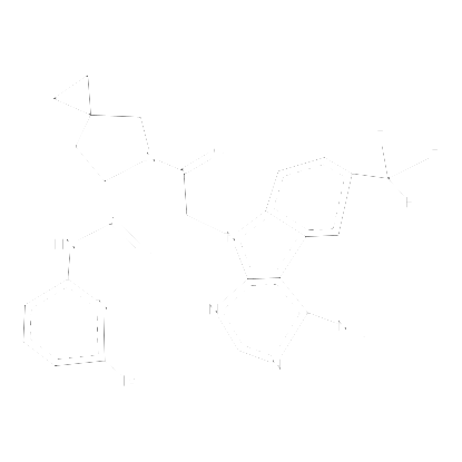 Nc1ncnc2c1c1cc(C(F)(F)F)ccc1n2CC(=O)N1CC2(CC2)C[C@H]1C(=O)Nc1cccc(Br)n1